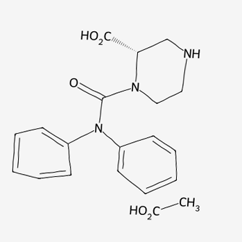 CC(=O)O.O=C(O)[C@@H]1CNCCN1C(=O)N(c1ccccc1)c1ccccc1